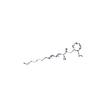 CCCCCCC/C=C/C=C/C(=O)NCc1ccccc1OC